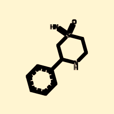 N=S1(=O)CCNC(c2ccccc2)C1